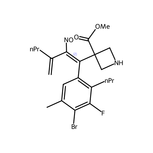 C=C(CCC)/C(N=O)=C(\c1cc(C)c(Br)c(F)c1CCC)C1(C(=O)OC)CNC1